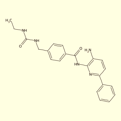 CCNC(=O)NCc1ccc(C(=O)Nc2nc(-c3ccccc3)ccc2N)cc1